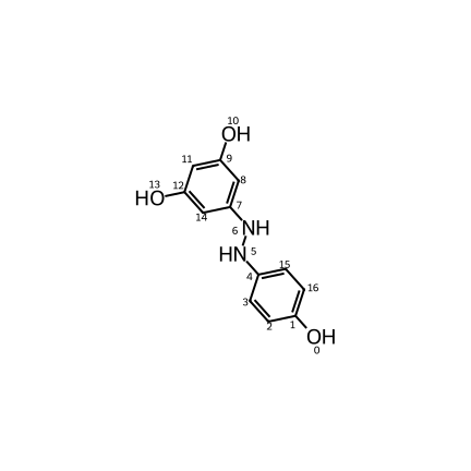 Oc1ccc(NNc2cc(O)cc(O)c2)cc1